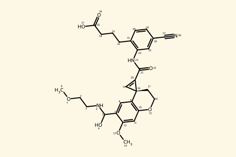 COCCNC(O)c1cc2c(cc1OC)OCC[C@]21C=C1C(=O)Nc1cc(C#N)ccc1CCCC(=O)O